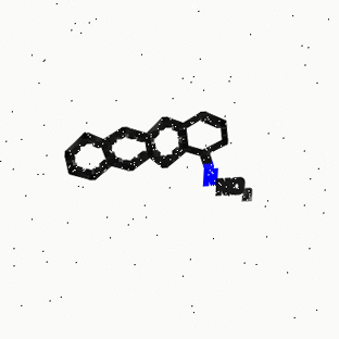 O=[N+]([O-])N=C1CC=Cc2cc3cc4ccccc4cc3cc21